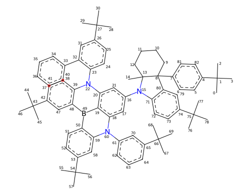 CC(C)(C)c1ccc(C23CCCCC2(C)N(c2cc4c5c(c2)N(c2ccc(C(C)(C)C)cc2-c2ccccc2)c2ccc(C(C)(C)C)cc2B5c2ccc(C(C)(C)C)cc2N4c2cccc(C(C)(C)C)c2)c2ccc(C(C)(C)C)cc23)cc1